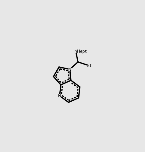 CCCCCCCC(CC)n1ccc2ncccc21